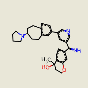 CC1(O)CCOc2cc(C(=N)c3cncc(-c4ccc5c(c4)CC[C@@H](N4CCCC4)CC5)c3)ccc21